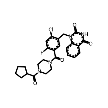 O=C(c1cc(Cn2c(=O)[nH]c(=O)c3ccccc32)c(Cl)cc1F)N1CCN(C(=O)C2CCCC2)CC1